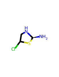 N[C@@H]1NCC(Cl)S1